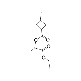 CCOC(=O)C(C)OC(=O)C1CC(C)C1